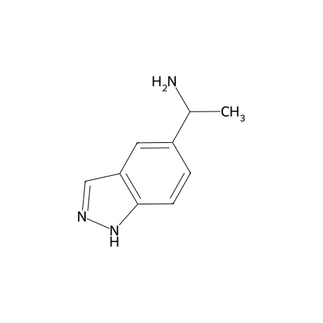 CC(N)c1ccc2[nH]ncc2c1